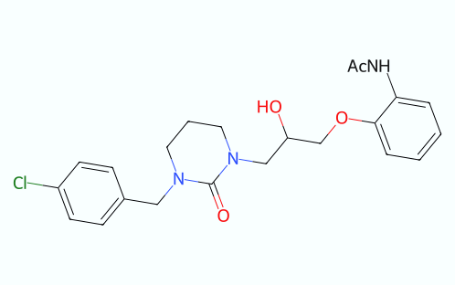 CC(=O)Nc1ccccc1OCC(O)CN1CCCN(Cc2ccc(Cl)cc2)C1=O